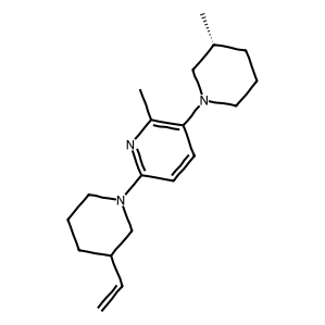 C=CC1CCCN(c2ccc(N3CCC[C@@H](C)C3)c(C)n2)C1